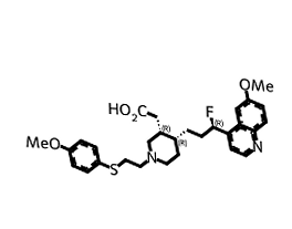 COc1ccc(SCCN2CC[C@@H](CC[C@@H](F)c3ccnc4ccc(OC)cc34)[C@@H](CC(=O)O)C2)cc1